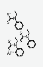 CCN(C(=S)[S-])c1ccccc1.CCN(C(=S)[S-])c1ccccc1.CCN(C(=S)[S-])c1ccccc1.[Al+3]